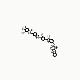 COc1ccc(C(=O)Nc2ccc(CNc3ccc(-c4nc5cc(CC(=O)N[C@@H](Cc6ccccc6)C(=O)O)ccc5[nH]4)cc3F)cc2)cc1Br